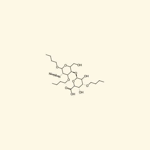 CCCCOC1OC(CO)[C@@H](O[C@@H]2OC(C(=O)O)[C@@H](O)[C@@H](OCCCC)C2O)C(OCCCC)[C@@H]1N=[N+]=[N-]